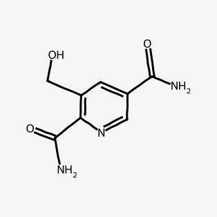 NC(=O)c1cnc(C(N)=O)c(CO)c1